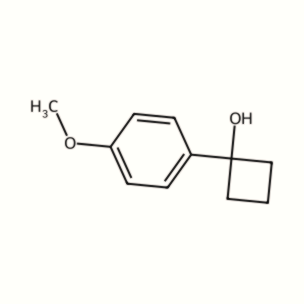 COc1ccc(C2(O)CCC2)cc1